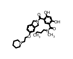 CCCCN(C)C(=O)c1cc(C(=O)N2Cc3ccc(OCCN4CCCCC4)cc3C2)c(O)cc1O